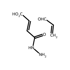 C=CC=O.NNC(=O)C=CC(=O)O